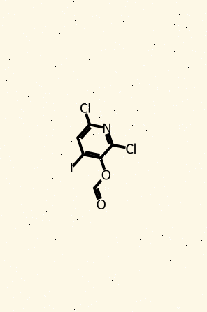 O=COc1c(I)cc(Cl)nc1Cl